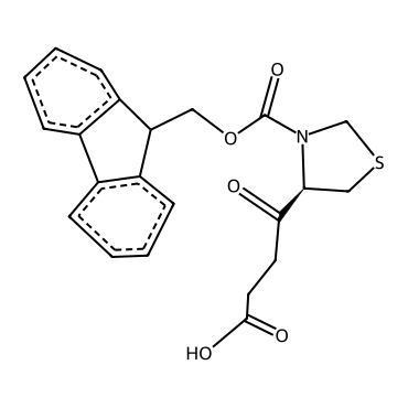 O=C(O)CCC(=O)[C@@H]1CSCN1C(=O)OCC1c2ccccc2-c2ccccc21